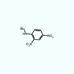 CCC(C)Nc1ccc([N+](=O)[O-])cc1[N+](=O)[O-]